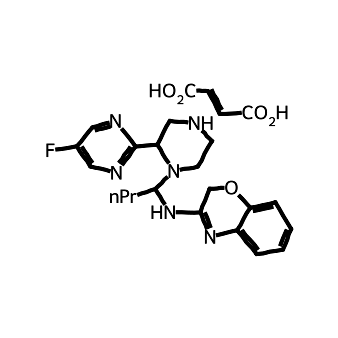 CCCC(NC1=Nc2ccccc2OC1)N1CCNCC1c1ncc(F)cn1.O=C(O)C=CC(=O)O